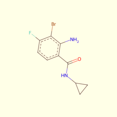 Nc1c(C(=O)NC2CC2)ccc(F)c1Br